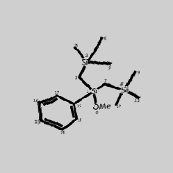 CO[Si](C[Si](C)(C)C)(C[Si](C)(C)C)c1ccccc1